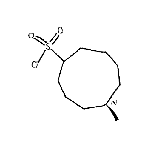 C[C@@H]1CCCCC(S(=O)(=O)Cl)CCC1